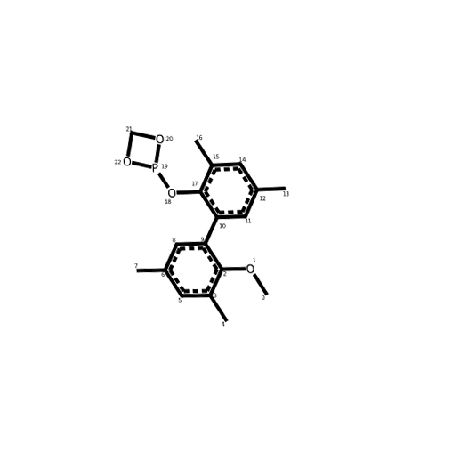 COc1c(C)cc(C)cc1-c1cc(C)cc(C)c1OP1OCO1